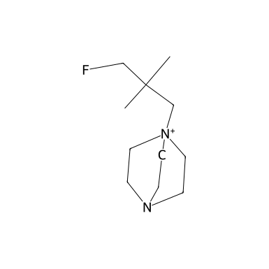 CC(C)(CF)C[N+]12CCN(CC1)CC2